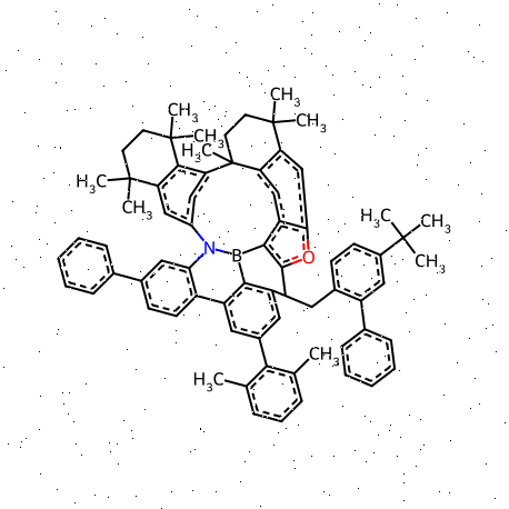 Cc1cccc(C)c1-c1cc2c3c(c1)C(Cc1ccc(C(C)(C)C)cc1-c1ccccc1)c1oc4cc5c6cc4c1B3N(c1cc3c(c(c1)C6(C)CCC5(C)C)C(C)(C)CCC3(C)C)c1cc(-c3ccccc3)ccc1-2